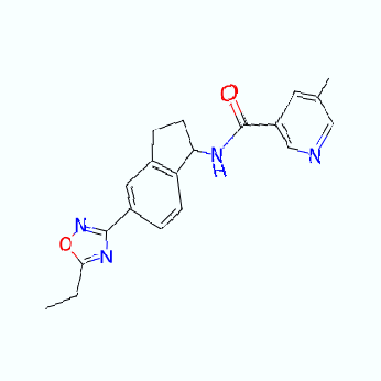 CCc1nc(-c2ccc3c(c2)CCC3NC(=O)c2cncc(C)c2)no1